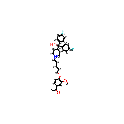 COc1cc(C(C)=O)ccc1OCCCCCN1CCC(C(O)(c2ccc(F)cc2)c2ccc(F)cc2)CC1